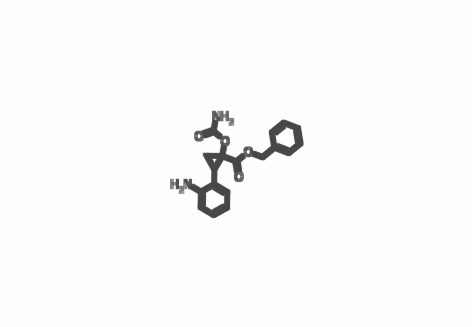 NC(=O)OC1(C(=O)OCc2ccccc2)CC1c1ccccc1N